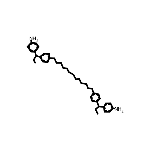 CCC(c1ccc(N)cc1)c1ccc(CCCCCCCCCCCCCc2ccc(C(CC)c3ccc(N)cc3)cc2)cc1